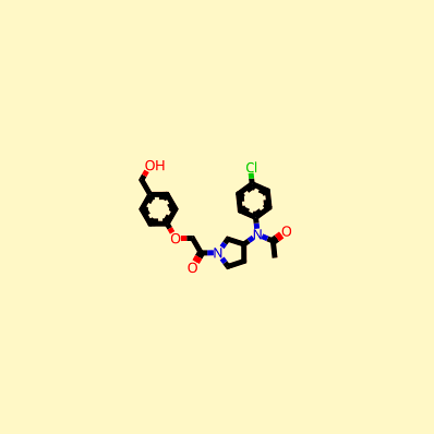 CC(=O)N(c1ccc(Cl)cc1)C1CCN(C(=O)COc2ccc(CO)cc2)C1